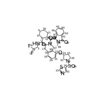 O=C(NCC(F)F)C1CCCCC1C(=O)N1CCc2cccc(OC3CCN(C(=O)c4cncs4)C3)c2[C@H]1CN1C(=O)c2ccccc2C1=O